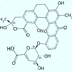 Cc1c(O)c2c(c3oc4c(O[C@@H]5OC(C(=O)O)=C[C@H](O)[C@H]5O)cccc4c(=O)c13)-c1c(cc3c(c1O)C(=O)O[C@](C)(O)C3)CC2